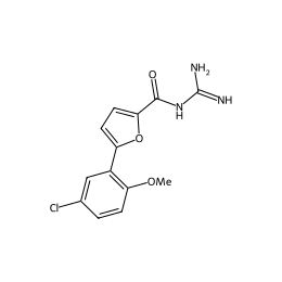 COc1ccc(Cl)cc1-c1ccc(C(=O)NC(=N)N)o1